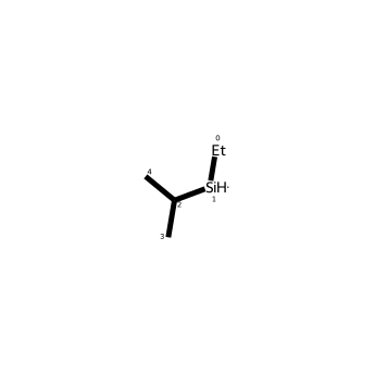 CC[SiH]C(C)C